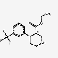 CCOC(=O)[C@@H]1CNCCC1c1cccc(C(F)(F)F)c1